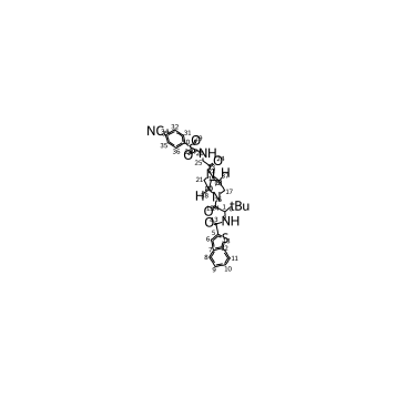 CC(C)(C)C(NC(=O)c1cc2ccccc2s1)C(=O)N1C[C@@H]2C[C@H]1CN2C(=O)CNS(=O)(=O)c1ccc(C#N)cc1